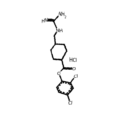 Cl.N=C(N)NCC1CCC(C(=O)Oc2ccc(Cl)cc2Cl)CC1